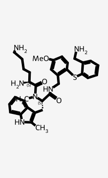 COc1ccc(Sc2ccccc2CN)c(CNC(=O)[C@H](Cc2c(C)[nH]c3ccccc23)N(C)C(=O)[C@@H](N)CCCCN)c1